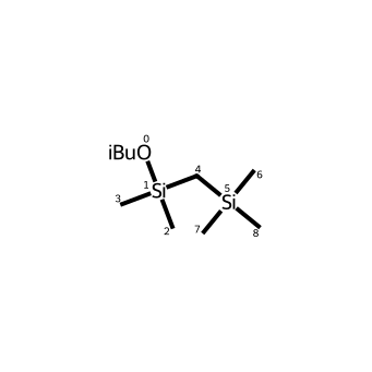 CC(C)CO[Si](C)(C)C[Si](C)(C)C